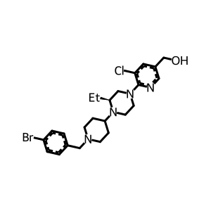 CC[C@H]1CN(c2ncc(CO)cc2Cl)CCN1C1CCN(Cc2ccc(Br)cc2)CC1